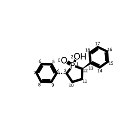 O=P1(O)[C@@H](c2ccccc2)CC[C@@H]1c1ccccc1